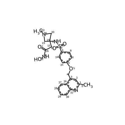 Cc1cc(COc2ccc(S(=O)(=O)NC3(CC(=O)NO)CN(C)C3)cc2)c2ccccc2n1